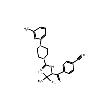 C#Cc1ccc(C(=O)C(NC(=O)N2CCN(c3cccc(C)n3)CC2)C(C)(C)C)cc1